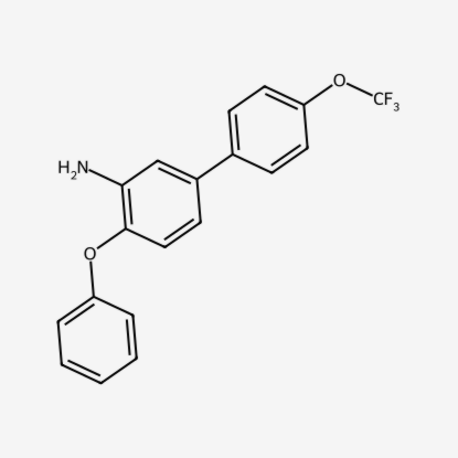 Nc1cc(-c2ccc(OC(F)(F)F)cc2)ccc1Oc1ccccc1